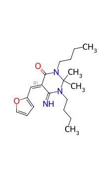 CCCCN1C(=N)/C(=C\c2ccco2)C(=O)N(CCCC)C1(C)C